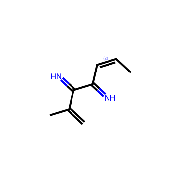 C=C(C)C(=N)C(=N)/C=C\C